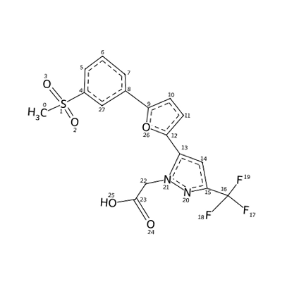 CS(=O)(=O)c1cccc(-c2ccc(-c3cc(C(F)(F)F)nn3CC(=O)O)o2)c1